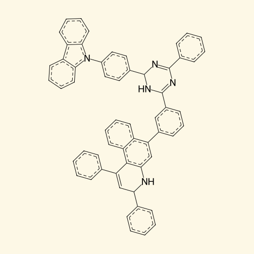 C1=C(c2ccccc2)c2c(cc(-c3cccc(C4=NC(c5ccccc5)=NC(c5ccc(-n6c7ccccc7c7ccccc76)cc5)N4)c3)c3ccccc23)NC1c1ccccc1